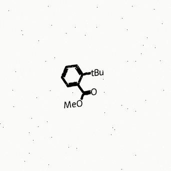 COC(=O)c1ccccc1C(C)(C)C